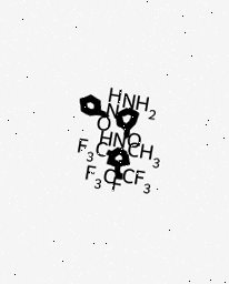 Cc1cc(C(F)(C(F)(F)F)C(F)(F)F)cc(C(F)(F)F)c1NC(=O)c1ccc(N)c(NC(=O)c2ccccc2)c1